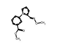 CON=Cc1cccn1-c1cccc(C(=O)OC)c1